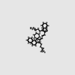 COCCN1/C(=C/C=C/c2oc3ccccc3[n+]2CCOC)C2(CCCCC2)c2c1ccc1ccccc21